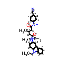 CCn1c2ccccc2c2cc([N+](C)(C)C(=O)CC(C)CC(=O)Nc3ccc(C#N)cc3)ccc21